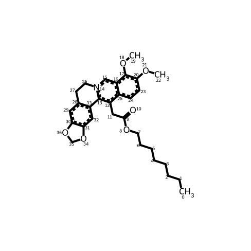 CCCCCCCCOC(=O)Cc1c2[n+](cc3c(OC)c(OC)ccc13)CCc1cc3c(cc1-2)OCO3